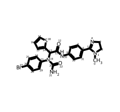 CN1CCN=C1c1ccc(NC(=O)C(c2cccs2)N(C(N)=O)c2ccc(Br)cc2)cc1